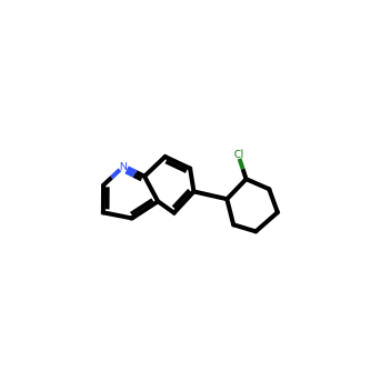 ClC1CCCCC1c1ccc2ncccc2c1